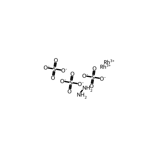 NN.O=S(=O)([O-])[O-].O=S(=O)([O-])[O-].O=S(=O)([O-])[O-].[Rh+3].[Rh+3]